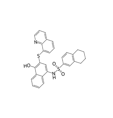 O=S(=O)(Nc1cc(Sc2cccc3cccnc23)c(O)c2ccccc12)c1ccc2c(c1)CCCC2